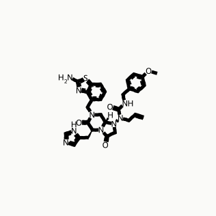 C=CCN(C(=O)NCc1ccc(OC)cc1)N1CC(=O)N2[C@@H](Cc3cnc[nH]3)C(=O)N(Cc3cccc4sc(N)nc34)C[C@@H]21